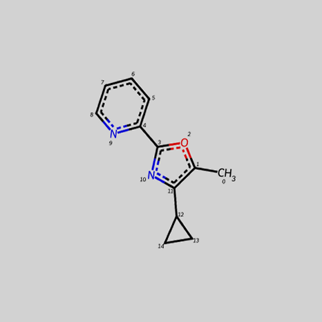 Cc1oc(-c2ccccn2)nc1C1CC1